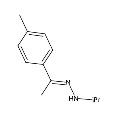 CC(=NNC(C)C)c1ccc(C)cc1